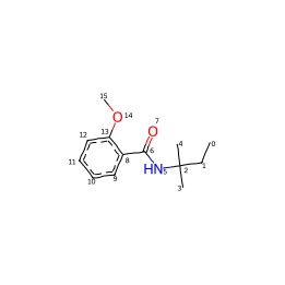 CCC(C)(C)NC(=O)c1ccccc1OC